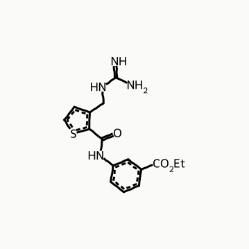 CCOC(=O)c1cccc(NC(=O)c2sccc2CNC(=N)N)c1